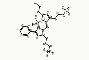 CCCC1=[N+]2C(=Cc3c(CCC[N+](C)(C)C)cc(-c4ccccc4)n3[B-]2(F)F)C(CCC[N+](C)(C)C)=C1